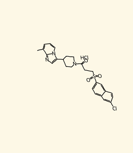 Cc1cccn2c(C3CCN(C(=O)CCS(=O)(=O)c4ccc5cc(Cl)ccc5c4)CC3)cnc12.Cl